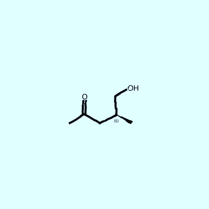 CC(=O)C[C@H](C)CO